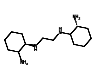 NC1CCCC[C@H]1NCCNC1CCCC[C@H]1N